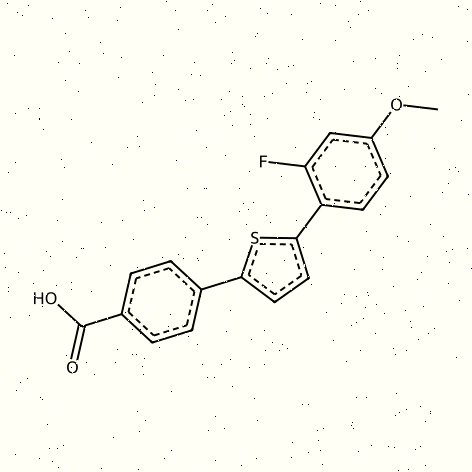 COc1ccc(-c2ccc(-c3ccc(C(=O)O)cc3)s2)c(F)c1